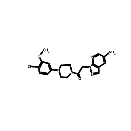 COc1cc(N2CCN(C(=O)Cn3ncc4cc(N)cnc43)CC2)ccc1Cl